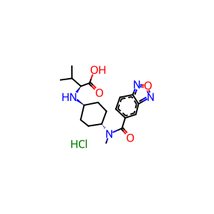 CC(C)[C@H](N[C@H]1CC[C@H](N(C)C(=O)c2ccc3nonc3c2)CC1)C(=O)O.Cl